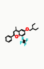 CCC(CC)COc1ccc2[o+]c(-c3ccccc3)cc(C)c2c1.F[B-](F)(F)F